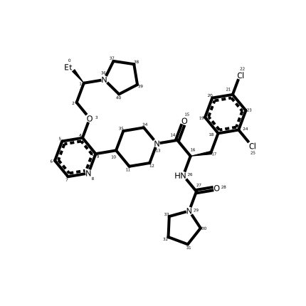 CC[C@H](COc1cccnc1C1CCN(C(=O)[C@@H](Cc2ccc(Cl)cc2Cl)NC(=O)N2CCCC2)CC1)N1CCCC1